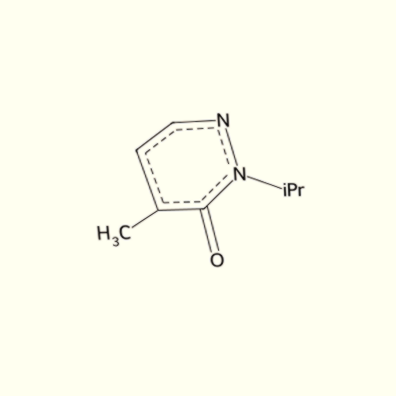 Cc1ccnn(C(C)C)c1=O